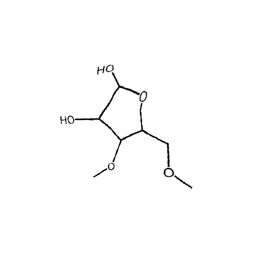 COCC1OC(O)C(O)C1OC